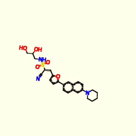 N#C/C(=C\c1ccc(-c2ccc3cc(N4CCCCC4)ccc3c2)o1)S(=O)(=O)NCC(O)CO